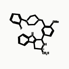 COc1ccc(C2N[C@@H](C(=O)O)Cc3c2[nH]c2ccccc32)cc1CN1CCN(c2ccccc2F)CC1